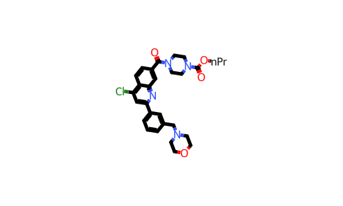 CCCOC(=O)N1CCN(C(=O)c2ccc3c(Cl)cc(-c4cccc(CN5CCOCC5)c4)nc3c2)CC1